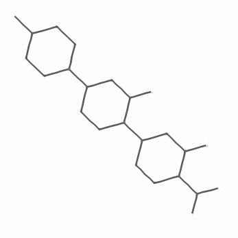 CC1CCC(C2CCC(C3CCC(C(F)F)C(F)C3)C(F)C2)CC1